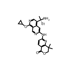 CC[C@](C)(N)c1cnc(OC2CC2)c2cnc(Nc3ccc4c(n3)C(C)(C)COC4=O)cc12